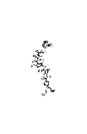 Cc1c(NC(=O)c2ccc(N(CCBr)CCBr)cc2)c[nH]c1C(=O)Nc1c[nH]c(C(=O)Nc2c[nH]c(C(=O)NCCC(N)=NO)c2C)c1C